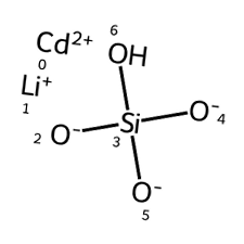 [Cd+2].[Li+].[O-][Si]([O-])([O-])O